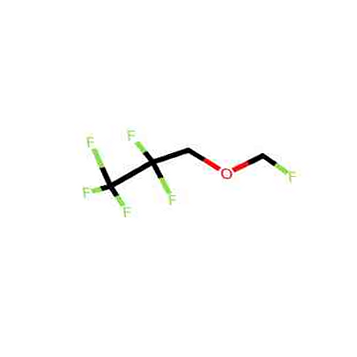 FCOCC(F)(F)C(F)(F)F